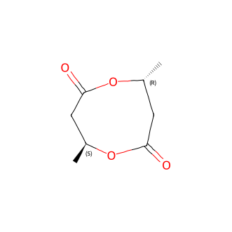 C[C@@H]1CC(=O)O[C@@H](C)CC(=O)O1